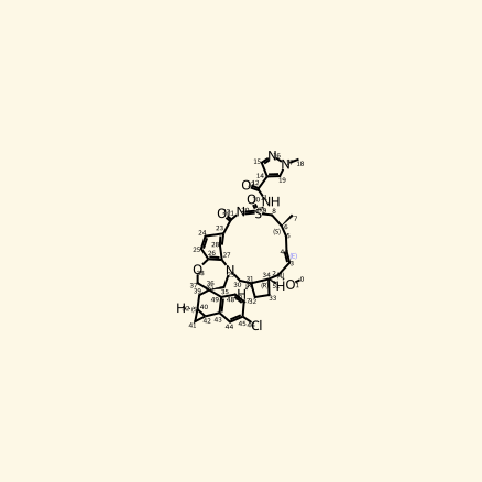 CO[C@H]1/C=C/C[C@H](C)C[S@@](=O)(NC(=O)c2cnn(C)c2)=NC(=O)c2ccc3c(c2)N(C[C@@H]2CC[C@H]21)C[C@]1(CO3)C[C@@H]2CC2c2cc(Cl)ccc21